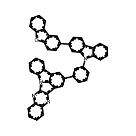 c1cc(-c2cc3c4ccccc4n4c5nc6ccccc6nc5c(c2)c34)cc(-n2c3ccccc3c3ccc(-c4ccc5oc6ccccc6c5c4)cc32)c1